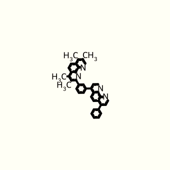 Cc1cnc2c(ccc3c(C)c(C)c(-c4cccc(-c5ccnc6c5ccc5c(-c7ccccc7)ccnc56)c4)nc32)c1C